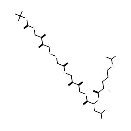 CC(C)C[C@H](NC(=O)[C@@H](N)CCCNC(N)N)C(=O)NCC(=O)C(=O)CNC(=O)CNNCC(=O)C(=O)CNC(=O)OC(C)(C)C